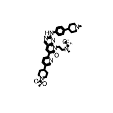 CN1CCC(c2ccc(Nc3ncc4cc(-c5ccc(C6CCN(S(C)(=O)=O)CC6)cn5)c(=O)n(CCN(C)[S+](C)[O-])c4n3)cc2)CC1